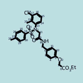 CCOC(=O)COc1ccc(CNC(=O)CN(c2cccc(Cl)c2C)S(=O)(=O)c2ccc(C)cc2)cc1